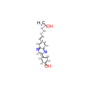 CC(O)CCCC=Cc1ccc2nc(-c3ccc(O)cc3)cnc2c1